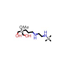 CO[Si](CO)(CO)CCCNCCN[Si](C)(C)C